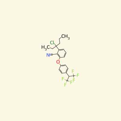 CCCC(Cl)(CC)c1cccc(Oc2ccc(C(C(F)(F)F)C(F)(F)F)cc2)c1C#N